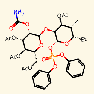 CC[C@@H]1O[C@H](OP(=O)(Oc2ccccc2)Oc2ccccc2)[C@@H](O[C@H]2O[C@H](COC(C)=O)[C@@H](OC(C)=O)[C@H](OC(C)=O)[C@@H]2OC(N)=O)[C@@H](OC(C)=O)[C@@H]1C